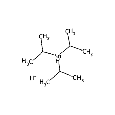 C[CH](C)[SnH]([CH](C)C)[CH](C)C.[H-]